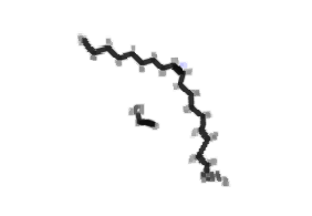 C=CCl.CCCCCCCC/C=C\CCCCCCCCN